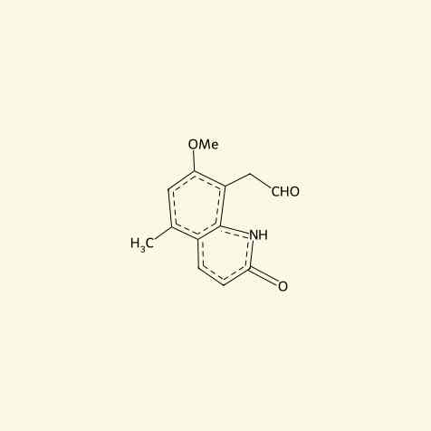 COc1cc(C)c2ccc(=O)[nH]c2c1CC=O